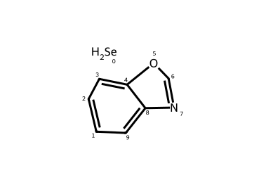 [SeH2].c1ccc2ocnc2c1